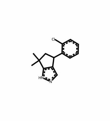 CC1(C)CC(c2ccccc2Cl)c2cn[nH]c21